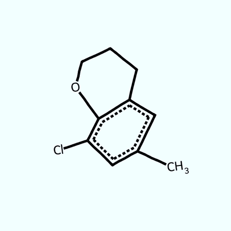 Cc1cc(Cl)c2c(c1)CCCO2